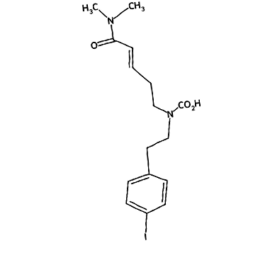 CN(C)C(=O)/C=C/CCN(CCc1ccc(I)cc1)C(=O)O